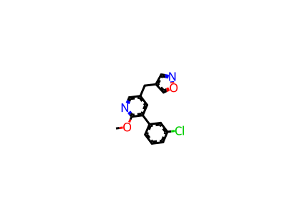 COc1ncc(Cc2cnoc2)cc1-c1cccc(Cl)c1